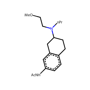 CCCN(CCOC)C1CCc2ccc(NC(C)=O)cc2C1